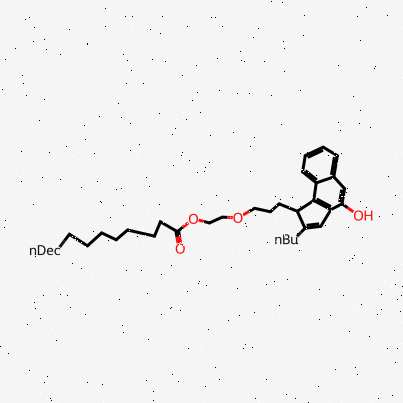 CCCCCCCCCCCCCCCCCC(=O)OCCOCCCC1C(CCCC)=Cc2c(O)cc3ccccc3c21